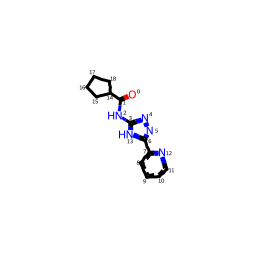 O=C(Nc1nnc(-c2ccccn2)[nH]1)C1CCCC1